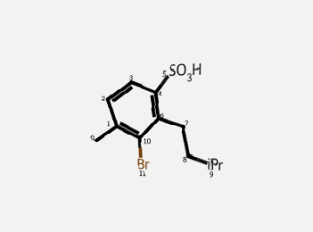 Cc1ccc(S(=O)(=O)O)c(CCC(C)C)c1Br